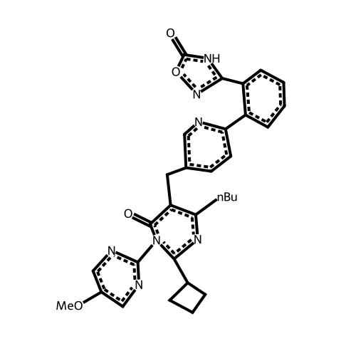 CCCCc1nc(C2CCC2)n(-c2ncc(OC)cn2)c(=O)c1Cc1ccc(-c2ccccc2-c2noc(=O)[nH]2)nc1